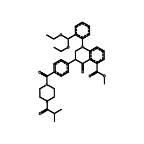 CCOC(OCC)c1ccccc1N1CC(c2ccc(C(=O)N3CCN(C(=O)C(C)C)CC3)cc2)C(=O)c2c(C(=O)OC)cccc21